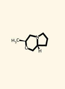 C[C@H]1CN2CCC[C@@H]2CO1